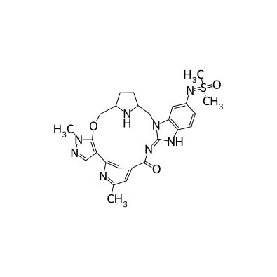 Cc1cc2cc(n1)-c1cnn(C)c1OCC1CCC(CN3/C(=N/C2=O)Nc2ccc(N=S(C)(C)=O)cc23)N1